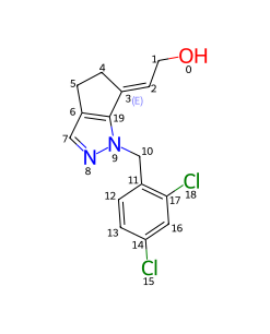 OC/C=C1\CCc2cnn(Cc3ccc(Cl)cc3Cl)c21